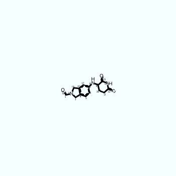 O=CN1Cc2ccc(NC3CCC(=O)NC3=O)cc2C1